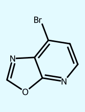 Brc1ccnc2ocnc12